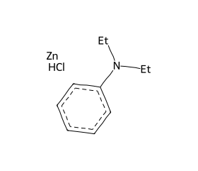 CCN(CC)c1ccccc1.Cl.[Zn]